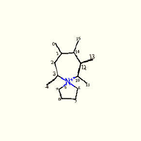 CC1CC(C)[N+]2(CCCC2)C(C)C(C)C1C